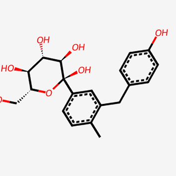 Cc1ccc([C@]2(O)O[C@H](CO)[C@@H](O)[C@H](O)[C@H]2O)cc1Cc1ccc(O)cc1